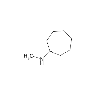 CN[C]1CCCCCC1